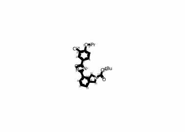 CC(C)Oc1ccc(-c2nc(-c3cccc4c3CN(C(=O)OC(C)(C)C)C4)no2)cc1Cl